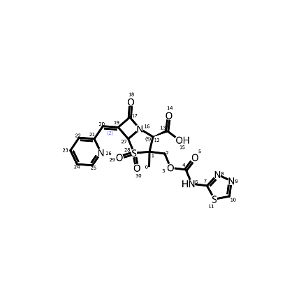 CC1(COC(=O)Nc2nncs2)[C@H](C(=O)O)N2C(=O)/C(=C/c3ccccn3)C2S1(=O)=O